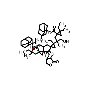 CCC(CC1(C(=O)OC2CCOC2=O)CC1(CC)C(C)(CO)CC1(C(=O)OC23CC4CC(CC(O)(C4)C2)C3)CC1(C)CC)C1(CC)CC1(CC(C)(C)CC)C(=O)OC1(C)C2CC3CC(C2)CC1C3